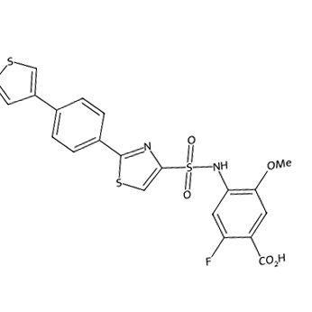 COc1cc(C(=O)O)c(F)cc1NS(=O)(=O)c1csc(-c2ccc(-c3ccsc3)cc2)n1